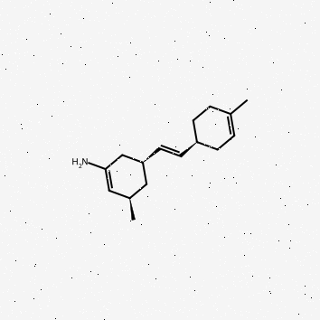 CC1=CC[C@@H](/C=C/[C@@H]2CC(N)=C[C@H](C)C2)CC1